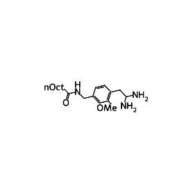 CCCCCCCCC(=O)NCc1ccc(CC(N)N)c(OC)c1